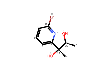 C[C@H](O)[C@](C)(O)c1cccc(Br)n1